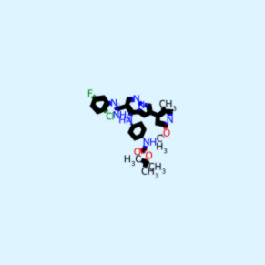 COc1cc(-c2cc3c(N[C@H]4CC[C@H](NC(=O)OC(C)(C)C)CC4)c(/C(N)=N/c4cc(F)ccc4Cl)cnn3c2)c(C)cn1